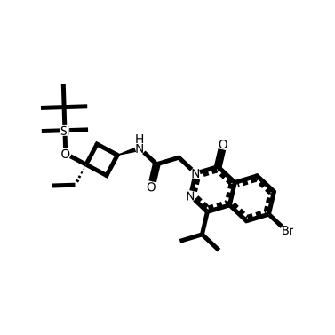 CC[C@]1(O[Si](C)(C)C(C)(C)C)C[C@@H](NC(=O)Cn2nc(C(C)C)c3cc(Br)ccc3c2=O)C1